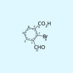 O=Cc1cccc(C(=O)O)c1Br